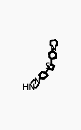 c1cc(N2CCCCC2)ccc1-c1ccc(-c2ccc(N3CCNCC3)cc2)s1